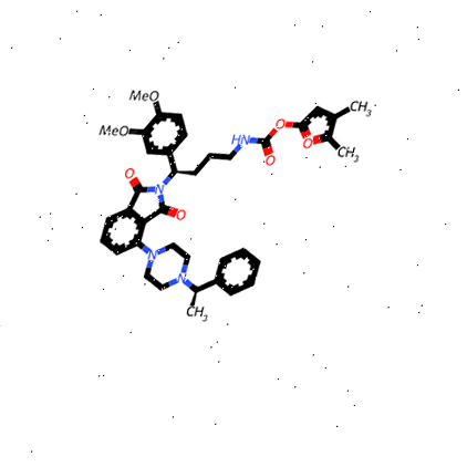 COc1ccc([C@@H](CCCNC(=O)Oc2cc(C)c(C)o2)N2C(=O)c3cccc(N4CCN([C@H](C)c5ccccc5)CC4)c3C2=O)cc1OC